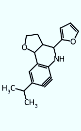 CC(C)c1c#cc2c(c1)C1OCCC1C(c1ccco1)N2